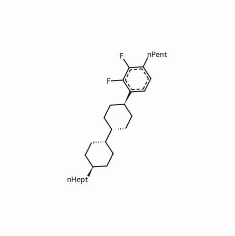 CCCCCCC[C@H]1CC[C@H]([C@H]2CC[C@H](c3ccc(CCCCC)c(F)c3F)CC2)CC1